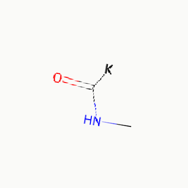 CN[C](=O)[K]